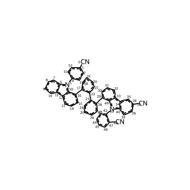 N#Cc1ccc(-n2c3ccccc3c3cccc(-c4ccccc4-c4ccccc4-c4cccc5c6cc(C#N)ccc6n(-c6ccccc6C#N)c45)c32)cc1